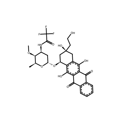 CO[C@H]1[C@@H](NC(=O)C(F)(F)F)C[C@H](O[C@H]2C[C@](O)(CCO)Cc3c(O)c4c(c(O)c32)C(=O)c2ccccc2C4=O)O[C@H]1C